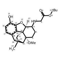 CO[C@@]12CCC(NCC(=O)OC(C)(C)C)[C@@H]3Oc4c(O)ccc5c4[C@@]31CCN(C)C2C5